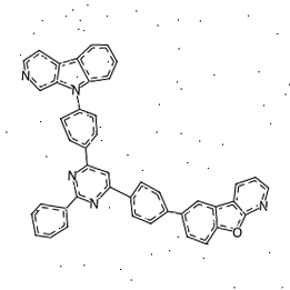 c1ccc(-c2nc(-c3ccc(-c4ccc5oc6ncccc6c5c4)cc3)cc(-c3ccc(-n4c5ccccc5c5ccncc54)cc3)n2)cc1